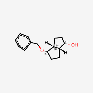 O[C@H]1CC[C@@H]2[C@H]1CC[C@@H]2OCc1ccccc1